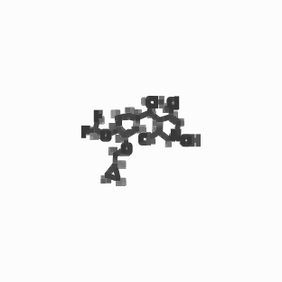 C[C](C1=C(Cl)CN(O)C=C1Cl)c1ccc(OC(F)F)c(OCC2CC2)c1